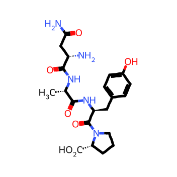 C[C@H](NC(=O)[C@@H](N)CC(N)=O)C(=O)N[C@@H](Cc1ccc(O)cc1)C(=O)N1CCC[C@@H]1C(=O)O